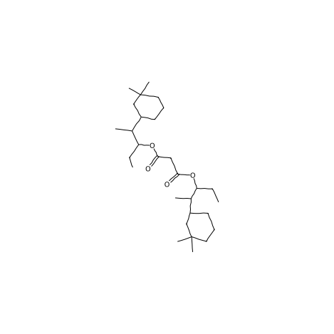 CCC(OC(=O)CC(=O)OC(CC)C(C)C1CCCC(C)(C)C1)C(C)C1CCCC(C)(C)C1